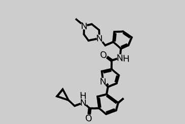 Cc1ccc(C(=O)NCC2CC2)cc1-c1ccc(C(=O)Nc2ccccc2CN2CCN(C)CC2)cn1